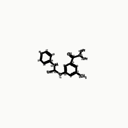 CCCN(CCC)C(=O)c1cc(C)cc(OC(CC)Nc2ccncc2)c1